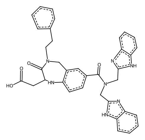 O=C(O)CC1Nc2ccc(C(=O)N(Cc3nc4ccccc4[nH]3)Cc3nc4ccccc4[nH]3)cc2CN(CCc2ccccc2)C1=O